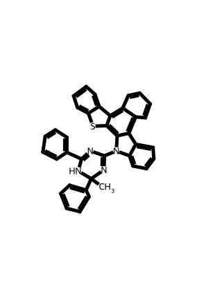 CC1(c2ccccc2)N=C(n2c3ccccc3c3c4ccccc4c4c5ccccc5sc4c32)N=C(c2ccccc2)N1